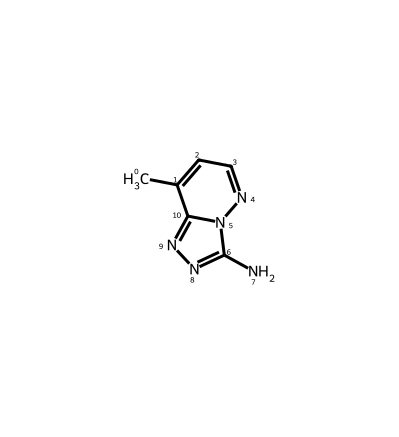 Cc1ccnn2c(N)nnc12